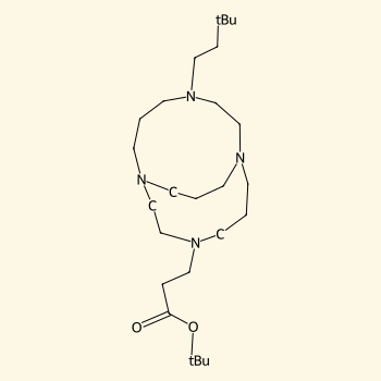 CC(C)(C)CCN1CCCN2CCCN(CCCN(CCC(=O)OC(C)(C)C)CC2)CC1